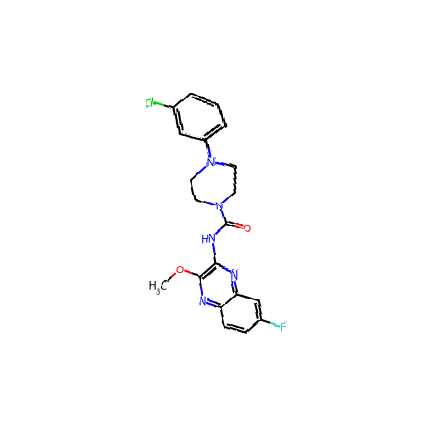 COc1nc2ccc(F)cc2nc1NC(=O)N1CCN(c2cccc(Cl)c2)CC1